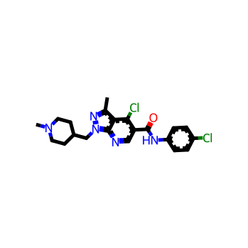 Cc1nn(CC2CCN(C)CC2)c2ncc(C(=O)Nc3ccc(Cl)cc3)c(Cl)c12